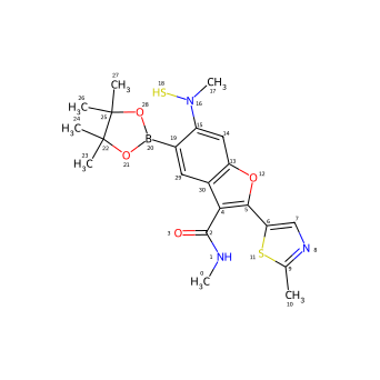 CNC(=O)c1c(-c2cnc(C)s2)oc2cc(N(C)S)c(B3OC(C)(C)C(C)(C)O3)cc12